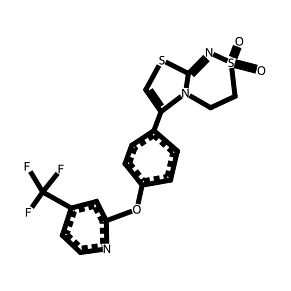 O=S1(=O)CCN2C(c3ccc(Oc4cc(C(F)(F)F)ccn4)cc3)=CSC2=N1